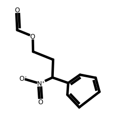 O=COCCC(c1ccccc1)[N+](=O)[O-]